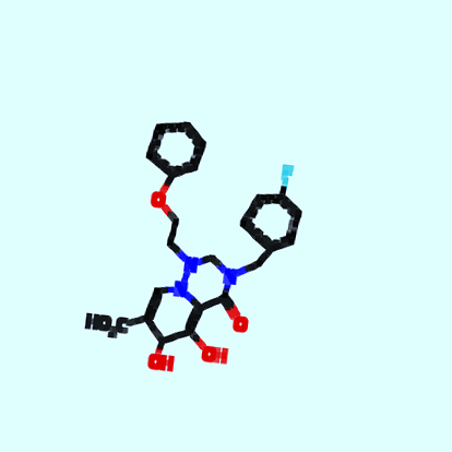 O=C(O)C1=CN2C(=C(O)C1O)C(=O)N(Cc1ccc(F)cc1)CN2CCOc1ccccc1